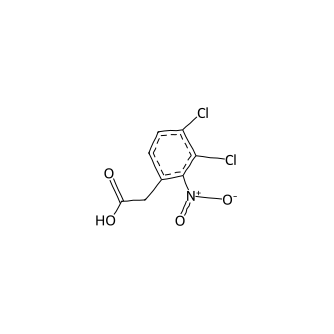 O=C(O)Cc1ccc(Cl)c(Cl)c1[N+](=O)[O-]